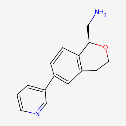 NC[C@H]1OCCc2cc(-c3cccnc3)ccc21